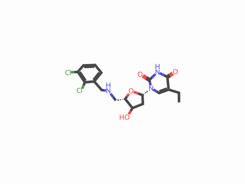 CCc1cn([C@@H]2CC(O)[C@H](CNCc3cccc(Cl)c3Cl)O2)c(=O)[nH]c1=O